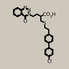 O=C(O)C(CCn1nnc2ccccc2c1=O)CSCCc1ccc(-c2ccc(Cl)cc2)cc1